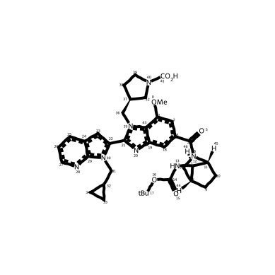 COc1cc(C(=O)N2C[C@H]3CC[C@@H]2[C@@H]3NC(=O)OC(C)(C)C)cc2nc(-c3cc4cccnc4n3CC3CC3)n(C[C@H]3CCN(C(=O)O)C3)c12